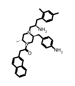 Cc1ccc(C[C@@H](N)CN2C[C@@H](C)N(C(=O)Cc3ccc4ccccc4c3)C[C@@H]2Cc2ccc(N)cc2)c(C)c1